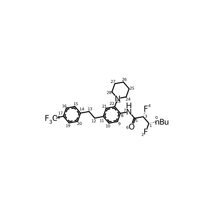 CCCC[C@H](F)[C@@H](F)C(=O)Nc1ccc(CCc2ccc(C(F)(F)F)cc2)cc1N1CCCCC1